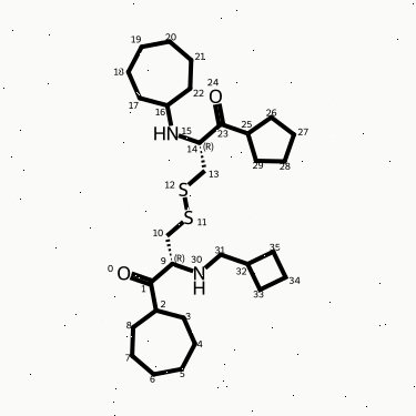 O=C(C1CCCCCC1)[C@H](CSSC[C@H](NC1CCCCCC1)C(=O)C1CCCC1)NCC1CCC1